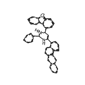 C1=C(c2cccc3c2ccc2cc4ccccc4cc23)NC(c2ccccc2)NC1c1cccc2oc3ccccc3c12